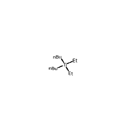 CCC[CH2][Ti]([CH2]C)([CH2]C)[CH2]CCC